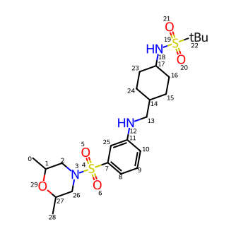 CC1CN(S(=O)(=O)c2cccc(NCC3CCC(NS(=O)(=O)C(C)(C)C)CC3)c2)CC(C)O1